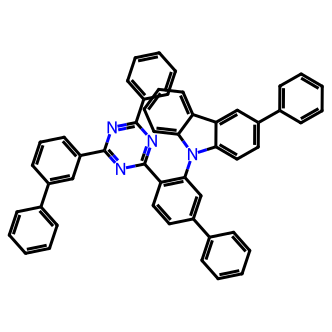 c1ccc(-c2cccc(-c3nc(-c4ccccc4)nc(-c4ccc(-c5ccccc5)cc4-n4c5ccccc5c5cc(-c6ccccc6)ccc54)n3)c2)cc1